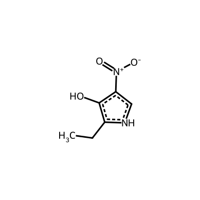 CCc1[nH]cc([N+](=O)[O-])c1O